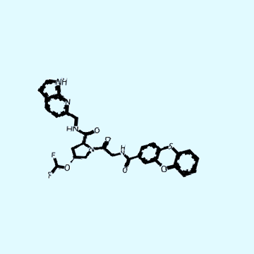 O=C(NCC(=O)N1C[C@H](OC(F)F)CC1C(=O)NCc1ccc2cc[nH]c2n1)c1ccc2c(c1)Oc1ccccc1S2